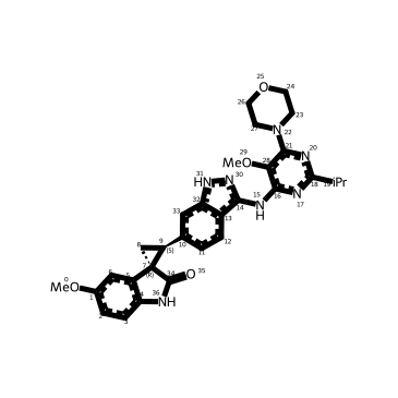 COc1ccc2c(c1)[C@]1(C[C@H]1c1ccc3c(Nc4nc(C(C)C)nc(N5CCOCC5)c4OC)n[nH]c3c1)C(=O)N2